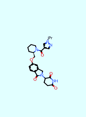 CC(C)n1cc(C(=O)N2CCCC[C@@H]2COc2ccc3c(c2)CN(C2CCC(=O)NC2=O)C3=O)cn1